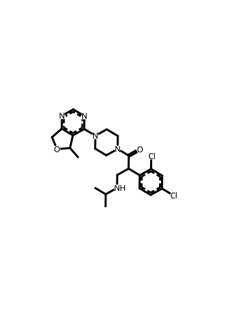 CC(C)NCC(C(=O)N1CCN(c2ncnc3c2C(C)OC3)CC1)c1ccc(Cl)cc1Cl